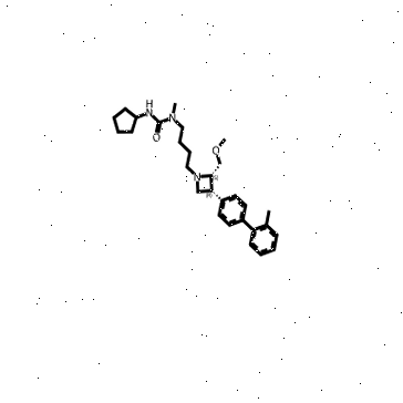 COC[C@@H]1[C@H](c2ccc(-c3ccccc3C)cc2)CN1CCCCN(C)C(=O)NC1CCCC1